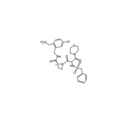 NCc1ccc(Cl)cc1CNC(=O)[C@@H]1CCN1C(=O)C(NS(=O)(=O)Cc1ccccc1)C(=O)N1CCOCC1